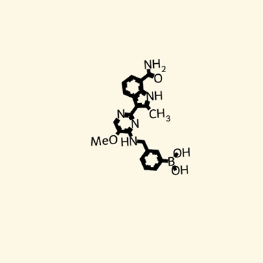 COc1cnc(-c2c(C)[nH]c3c(C(N)=O)cccc23)nc1NCc1cccc(B(O)O)c1